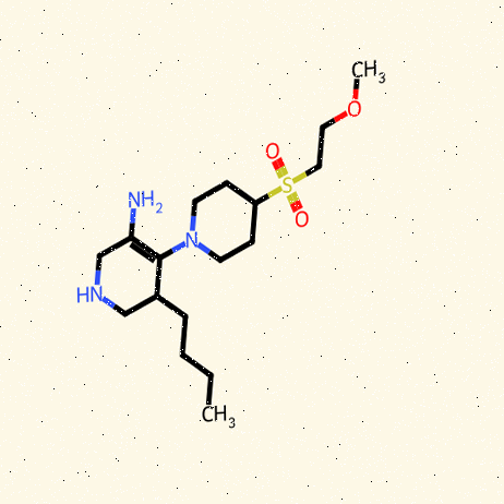 CCCCC1CNCC(N)=C1N1CCC(S(=O)(=O)CCOC)CC1